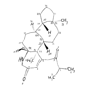 CC(C)C(=O)C1=CC(=O)N[C@@H]2CC[C@H]3[C@@H]4CCC[C@@]4(C)CC[C@@H]3[C@@]12C